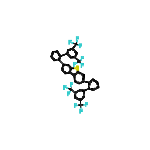 FC(F)(F)c1cc(-c2ccccc2-c2ccc3c(c2)sc2cc(-c4ccccc4-c4cc(C(F)(F)F)cc(C(F)(F)F)c4)ccc23)cc(C(F)(F)F)c1